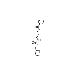 O=C(NCCC=NNC1CCCC1)OCc1ccccc1